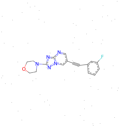 Fc1cccc(C#Cc2cnc3nc(N4CCOCC4)nn3c2)c1